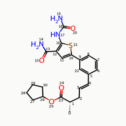 C[C@@H](C/C=C/c1cccc(-c2cc(C(N)=O)c(NC(N)=O)s2)c1)C(=O)OC1CCCC1